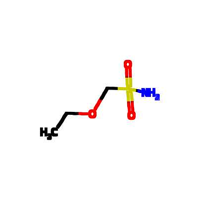 CCOCS(N)(=O)=O